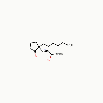 CCCCCC(O)/C=C/C1(CCCCCC(=O)O)CCCC1=O